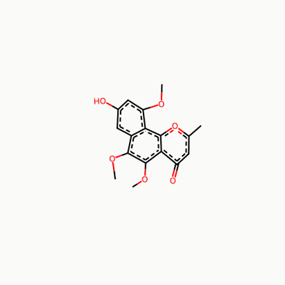 COc1c(OC)c2c(=O)cc(C)oc2c2c(OC)cc(O)cc12